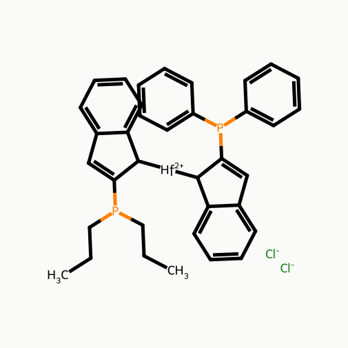 CCCP(CCC)C1=Cc2ccccc2[CH]1[Hf+2][CH]1C(P(c2ccccc2)c2ccccc2)=Cc2ccccc21.[Cl-].[Cl-]